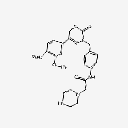 COc1ccc(C2=NN(Cc3ccc(NC(=O)CN4CCNCC4)cc3)C(=O)SC2)cc1OC(C)C